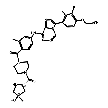 Cc1cc(Nc2nccn3c(-c4ccc(OCC#N)c(F)c4F)cnc23)ccc1C(=O)N1CCN(C(=O)[C@@H]2C[C@](C)(O)CN2)CC1